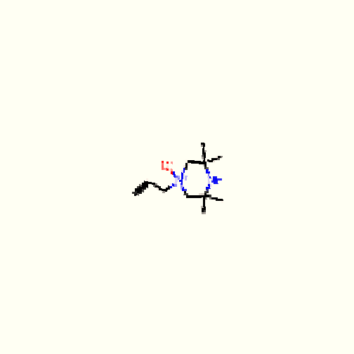 C=CC[N+]1([O-])CC(C)(C)NC(C)(C)C1